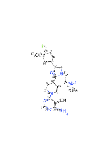 CC(C)(C)NCCn1cc(-c2ccc(F)c(C(F)(F)F)c2)nc1C1CCN(c2ncnc(N)c2C#N)CC1